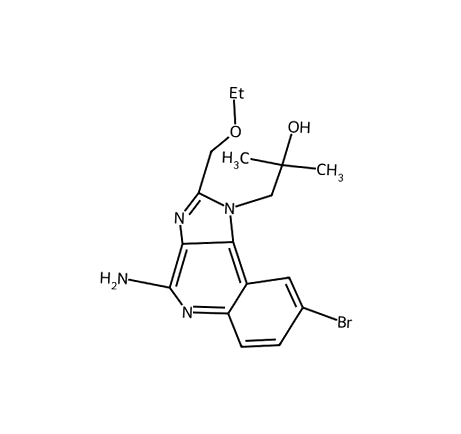 CCOCc1nc2c(N)nc3ccc(Br)cc3c2n1CC(C)(C)O